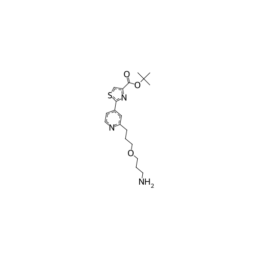 CC(C)(C)OC(=O)c1csc(-c2ccnc(CCCOCCCN)c2)n1